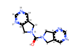 O=C(N1Cc2cncnc2C1)N1Cc2cncnc2C1